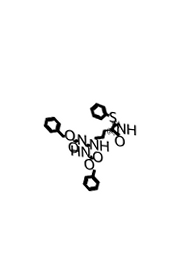 O=C(N=C(NCCC[C@@H]1C(=O)N[C@H]1Sc1ccccc1)NC(=O)OCc1ccccc1)OCc1ccccc1